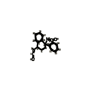 O=C=NC1CCC(N=C=O)(c2ccccc2)c2ccccc21